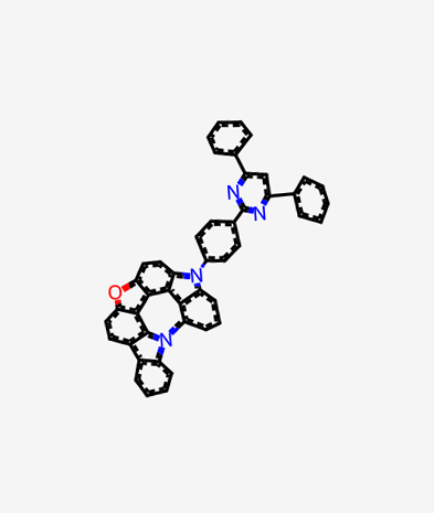 c1ccc(-c2cc(-c3ccccc3)nc(-c3ccc(-n4c5ccc6oc7ccc8c9ccccc9n9c%10cccc4c%10c5c6c7c89)cc3)n2)cc1